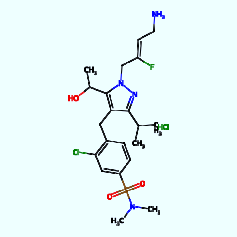 CC(C)c1nn(C/C(F)=C/CN)c(C(C)O)c1Cc1ccc(S(=O)(=O)N(C)C)cc1Cl.Cl